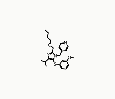 CCCCOCc1nc(C(C)C)c(Sc2cccc(OC)c2)n1Cc1ccncc1